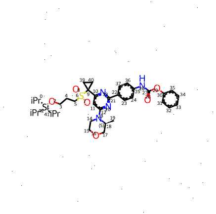 CC(C)[Si](OCCCS(=O)(=O)C1(c2cc(N3CCOC[C@@H]3C)nc(-c3ccc(NC(=O)Oc4ccccc4)cc3)n2)CC1)(C(C)C)C(C)C